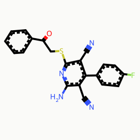 N#Cc1c(N)nc(SCC(=O)c2ccccc2)c(C#N)c1-c1ccc(F)cc1